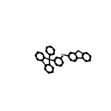 c1ccc(C2(c3cccc(Nc4ccc5c(c4)Cc4ccccc4-5)c3)c3ccccc3-c3ccccc32)cc1